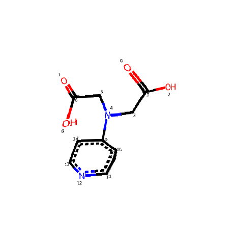 O=C(O)CN(CC(=O)O)c1ccncc1